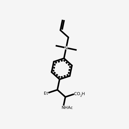 C=CC[Si](C)(C)c1ccc(C(CC)C(NC(C)=O)C(=O)O)cc1